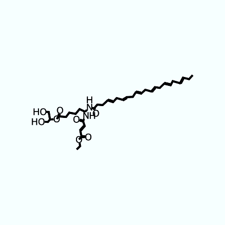 CCC=CCC=CCC=CCC=CCC=CCC=CCCC(=O)NC(CCCCC(=O)OC(CO)CO)NC(=O)C=CC(=O)OCC